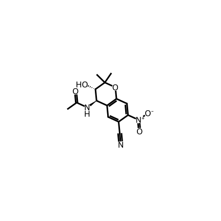 CC(=O)N[C@@H]1c2cc(C#N)c([N+](=O)[O-])cc2OC(C)(C)[C@H]1O